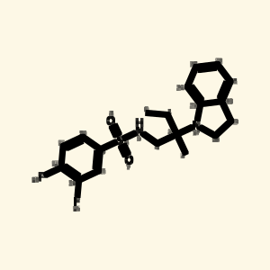 CCC(C)(CNS(=O)(=O)c1ccc(F)c(F)c1)N1CCc2ccccc21